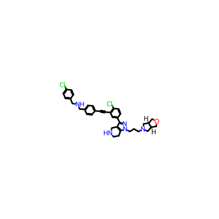 Clc1ccc(CNCc2ccc(C#Cc3cc(-c4nn(CCCN5C[C@H]6COC[C@H]6C5)c5c4CNCC5)ccc3Cl)cc2)cc1